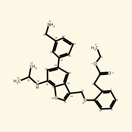 CCOC(=O)Cc1ccccc1OCc1coc2c(NC(C)C)cc(-c3cccc(CN)c3)cc12